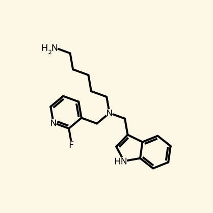 NCCCCCN(Cc1cccnc1F)Cc1c[nH]c2ccccc12